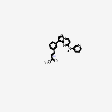 CN(c1cccnc1)c1ccn2ncc(-c3cccc(/C=C/C(=O)O)c3)c2n1